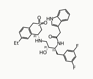 CCc1ccc2c(c1)[C@@H](NC[C@@H](O)[C@H](Cc1cc(F)cc(F)c1)NC(=O)Cc1c[nH]c3ccccc13)CS(=O)(=O)C2